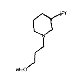 COCCCN1CCCC(C(C)C)C1